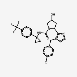 O=C(NC1(c2ccc(C(F)(F)F)cc2)CC1)N1CC(O)CC1c1nncn1Cc1ccc(Cl)cc1